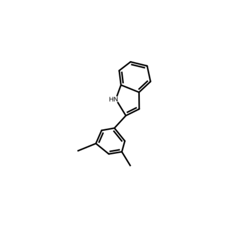 Cc1cc(C)cc(-c2cc3ccccc3[nH]2)c1